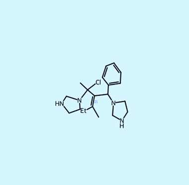 CC/C(C)=C(/C(c1ccccc1)N1CCNC1)C(C)(Cl)N1CCNC1